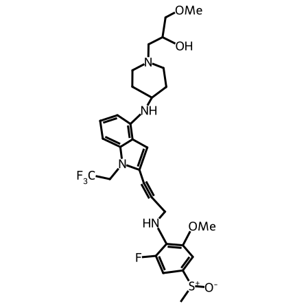 COCC(O)CN1CCC(Nc2cccc3c2cc(C#CCNc2c(F)cc([S+](C)[O-])cc2OC)n3CC(F)(F)F)CC1